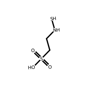 O=S(=O)(O)CCNS